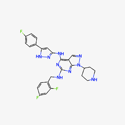 Fc1ccc(-c2cc(Nc3nc(NCc4ccc(F)cc4F)nc4c3cnn4C3CCNCC3)n[nH]2)cc1